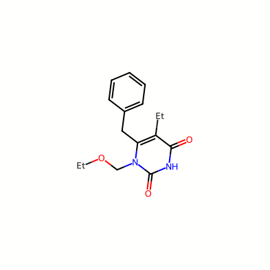 CCOCn1c(Cc2ccccc2)c(CC)c(=O)[nH]c1=O